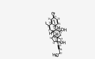 CC1=C[C@@H]2[C@H]([C@@H](O)C[C@@]3(C)[C@H]2CC[C@@]3(O)C#CCO)[C@@]2(C)C=CC(=O)C=C12